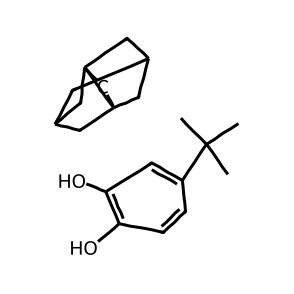 C1C2CC34CC1CC3(C2)C4.CC(C)(C)c1ccc(O)c(O)c1